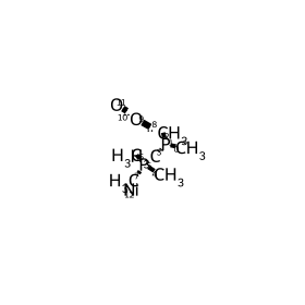 CP(C)C.CP(C)C.[C]=O.[C]=O.[Ni]